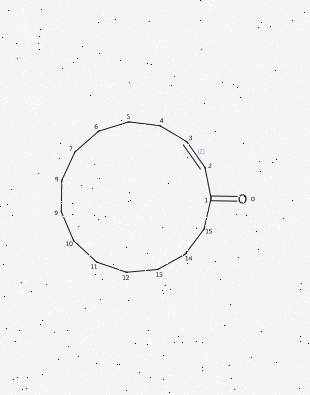 O=C1/C=C\CCCCCCCCCCCC1